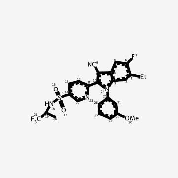 CCc1cc2c(cc1F)c(C#N)c(-c1ccc(S(=O)(=O)NC(C)C(F)(F)F)cn1)n2-c1cccc(OC)c1